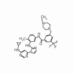 CCN1CCN(Cc2cc(C(=O)Nc3ccc(C)c(Nc4nccn4-c4cc(NC5CC5)ncn4)c3)cc(C(F)(F)F)c2)CC1